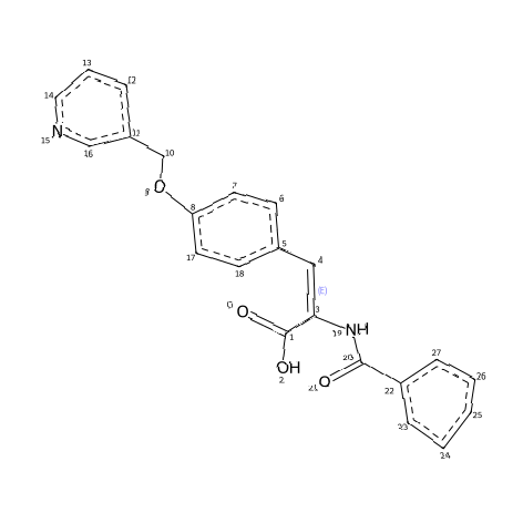 O=C(O)/C(=C\c1ccc(OCc2cccnc2)cc1)NC(=O)c1ccccc1